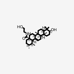 C[C@H]1[C@H](C)CC[C@]2(C(=O)NCCO)CC[C@]3(C)C(=CC[C@@H]4[C@@]5(C)CC[C@H](O)C(C)(C)[C@@H]5CC[C@]43C)[C@H]12